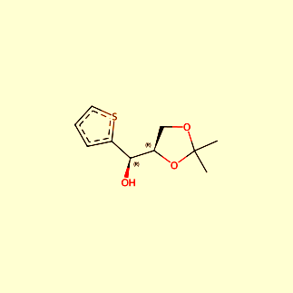 CC1(C)OC[C@H]([C@@H](O)c2cccs2)O1